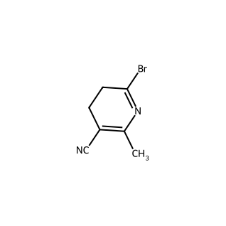 CC1=C(C#N)CCC(Br)=N1